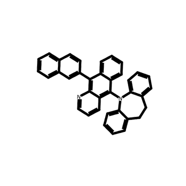 c1ccc2c(c1)CCc1ccccc1N2c1c2ccccc2c(-c2ccc3ccccc3c2)c2ncccc12